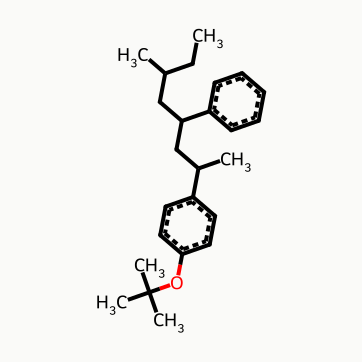 CCC(C)CC(CC(C)c1ccc(OC(C)(C)C)cc1)c1ccccc1